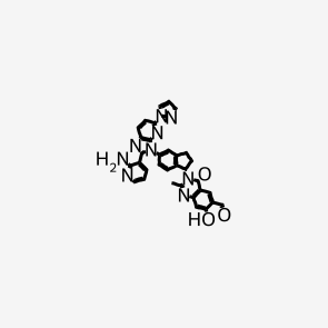 Cc1nc2cc(O)c(C=O)cc2c(=O)n1[C@H]1CCc2cc(-n3c(-c4cccnc4N)nc4ccc(-n5cccn5)nc43)ccc21